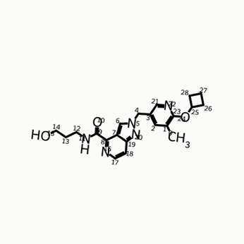 Cc1cc(Cn2cc3c(C(=O)NCCCO)nccc3n2)cnc1OC1CCC1